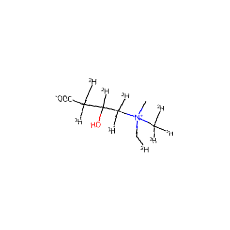 [2H]C[N+](C)(C([2H])([2H])[2H])C([2H])([2H])C([2H])(O)C([2H])([2H])C(=O)[O-]